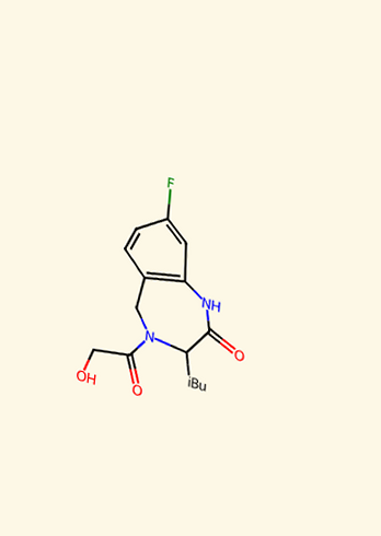 CCC(C)C1C(=O)Nc2cc(F)ccc2CN1C(=O)CO